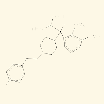 CCCCCCC(C(=O)O)C(O)(c1cccc(OC)c1OC)C1CCN(CCc2ccc(F)cc2)CC1